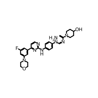 C=C(/N=C\N(N)c1ccc(Nc2nccc(-c3cc(F)cc(N4CCOCC4)c3)n2)cc1)N1CCC(O)CC1